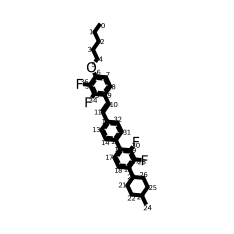 CCCCCOc1ccc(/C=C/c2ccc(-c3ccc(C4CCC(C)CC4)c(F)c3F)cc2)c(F)c1F